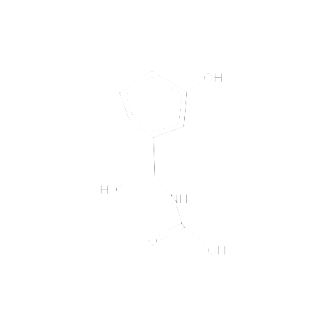 C[C@@H](NC(=O)O)c1cccc(O)c1